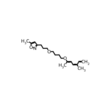 C=C/C(C)=C\C=C(/C)OCCCCOCCCc1cc(C)on1